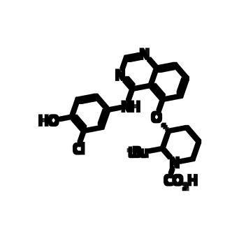 CC(C)(C)C1[C@H](Oc2cccc3ncnc(Nc4ccc(O)c(Cl)c4)c23)CCCN1C(=O)O